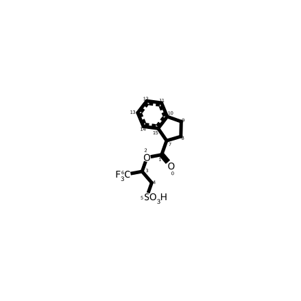 O=C(OC(CS(=O)(=O)O)C(F)(F)F)C1CCc2ccccc21